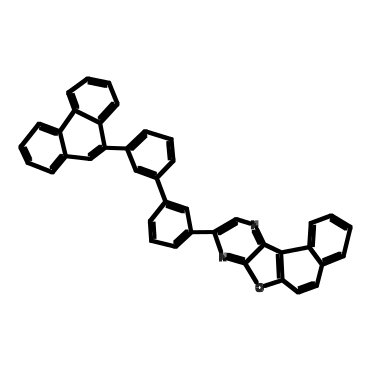 c1cc(-c2cccc(-c3cc4ccccc4c4ccccc34)c2)cc(-c2cnc3c(n2)oc2ccc4ccccc4c23)c1